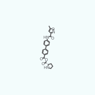 Cc1cc(C(=O)Nc2ccc(-c3ccc(C(=O)OC(=O)[C@@H]4CCCN4)cc3)cc2)no1